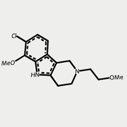 COCCN1CCc2[nH]c3c(OC)c(Cl)ccc3c2C1